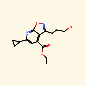 CCOC(=O)c1cc(C2CC2)nc2onc(CCCO)c12